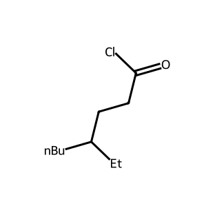 CCCCC(CC)CCC(=O)Cl